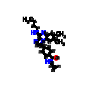 CCCCNc1nc2cc(C)c(C)cc2n2c(-c3ccc(C(=O)NC4CC4)cc3)cnc12